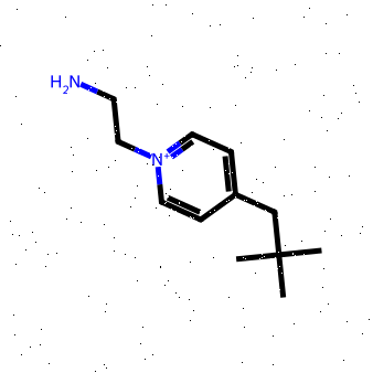 CC(C)(C)Cc1cc[n+](CCN)cc1